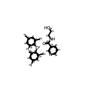 Ic1cc(I)c(Oc2c(I)cc(I)cc2I)c(I)c1.O=C(NCCO)c1cccnc1